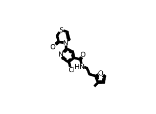 Cc1ccoc1CCNC(=O)c1cc(N2C=CSCC2=O)ncc1Cl